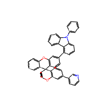 c1ccc(-n2c3ccccc3c3c(-c4ccc5c(c4)Oc4ccccc4C54c5ccccc5Oc5cc(-c6cccnc6)ccc54)cccc32)cc1